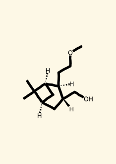 COCC[C@H]1[C@H](CO)C[C@@H]2C[C@H]1C2(C)C